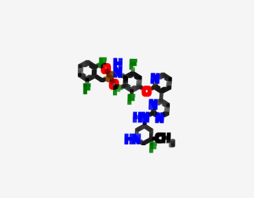 C[C@@]1(F)CNC[C@@H](Nc2nccc(-c3cccnc3Oc3cc(F)c(NS(=O)(=O)Cc4c(F)cccc4F)c(F)c3F)n2)C1